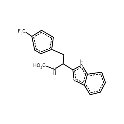 O=C(O)NC(Cc1ccc(C(F)(F)F)cc1)c1nc2ccccc2[nH]1